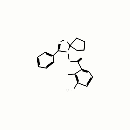 CCc1c(OC)cccc1C(=O)NN1C(c2ccccc2)=NOC12CCCC2